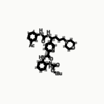 CC(=O)c1cccc(NC(=O)NC(CCCN2CCOCC2)c2ccc(C(=O)Nc3ccccc3NC(=O)OC(C)(C)C)nc2)c1